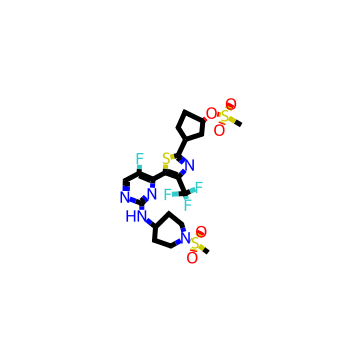 CS(=O)(=O)OC1CCC(c2nc(C(F)(F)F)c(-c3nc(NC4CCN(S(C)(=O)=O)CC4)ncc3F)s2)C1